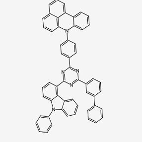 c1ccc(-c2cccc(-c3nc(-c4ccc(N5c6ccccc6-c6cccc7cccc5c67)cc4)nc(-c4cccc5c4c4ccccc4n5-c4ccccc4)n3)c2)cc1